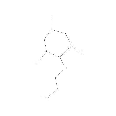 CC1CC(O)C(OCCO)C(O)C1